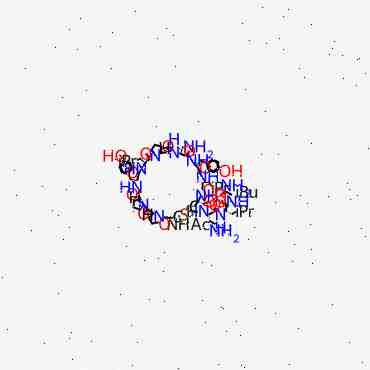 CC[C@H](C)[C@H](NC(=O)[C@H](CC(C)C)NC(=O)[C@H](CCN)NC(=O)[C@@H]1CSSC[C@H](NC(C)=O)C(=O)N2CCC[C@H]2C(=O)N2CCC[C@H]2C(=O)N[C@@H](Cc2ccc(O)cc2)C(=O)N[C@@H](CC(C)C)C(=O)N2CCC[C@H]2C(=O)N[C@@H](CN)C(=O)N[C@@H](Cc2ccc(O)cc2)C(=O)N[C@@H](CC(C)C)C(=O)N1)C(N)=O